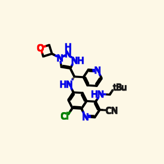 CC(C)(C)CNc1c(C#N)cnc2c(Cl)cc(N[C@H](C3=CN(C4COC4)NN3)c3cccnc3)cc12